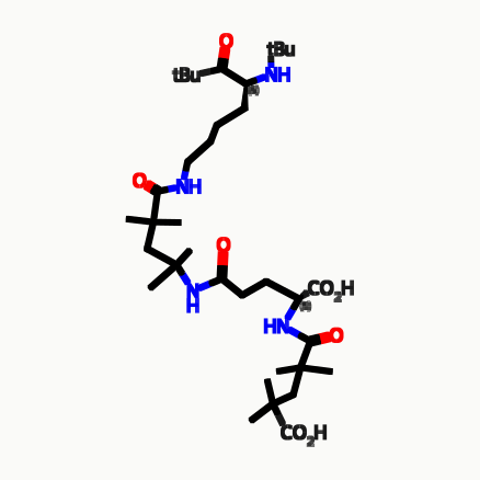 CC(C)(C)N[C@@H](CCCCNC(=O)C(C)(C)CC(C)(C)NC(=O)CC[C@H](NC(=O)C(C)(C)CC(C)(C)C(=O)O)C(=O)O)C(=O)C(C)(C)C